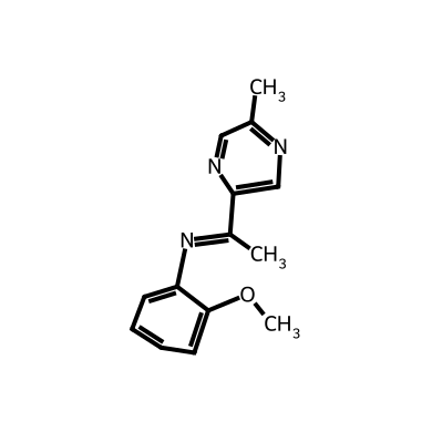 COc1ccccc1N=C(C)c1cnc(C)cn1